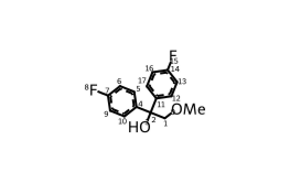 COCC(O)(c1ccc(F)cc1)c1ccc(F)cc1